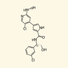 CCCNc1cc(-c2c[nH]c(C(=O)N[C@H](CO)c3cccc(Cl)c3)c2)c(Cl)cn1